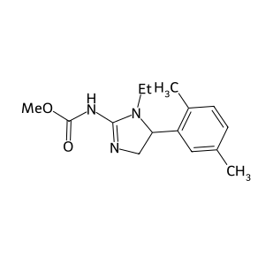 CCN1C(NC(=O)OC)=NCC1c1cc(C)ccc1C